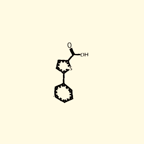 O=C(O)c1ccc(-c2c[c]ccc2)s1